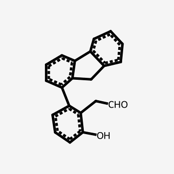 O=CCc1c(O)cccc1-c1cccc2c1Cc1ccccc1-2